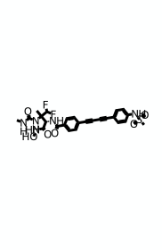 CNC(=O)NC(C)(C(F)F)[C@H](NC(=O)c1ccc(C#CC#Cc2ccc(NS(C)(=O)=O)cc2)cc1)C(=O)NO